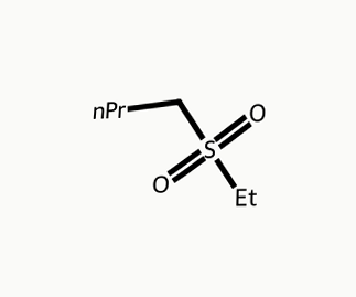 CCCCS(=O)(=O)CC